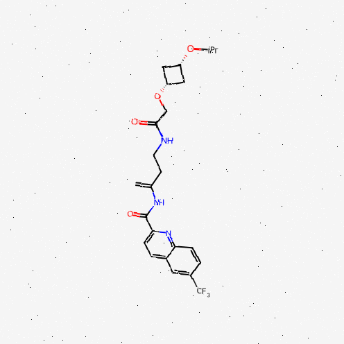 C=C(CCNC(=O)CO[C@H]1C[C@@H](OC(C)C)C1)NC(=O)c1ccc2cc(C(F)(F)F)ccc2n1